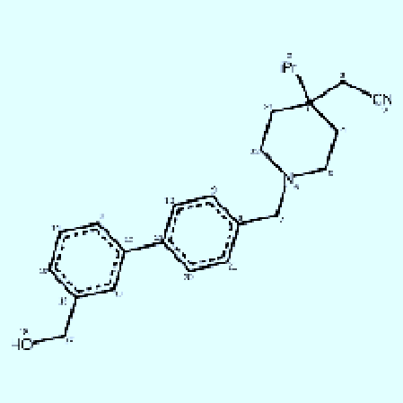 CC(C)C1(CC#N)CCN(Cc2ccc(-c3cccc(CO)c3)cc2)CC1